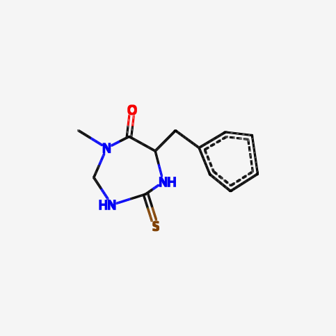 CN1CNC(=S)NC(Cc2ccccc2)C1=O